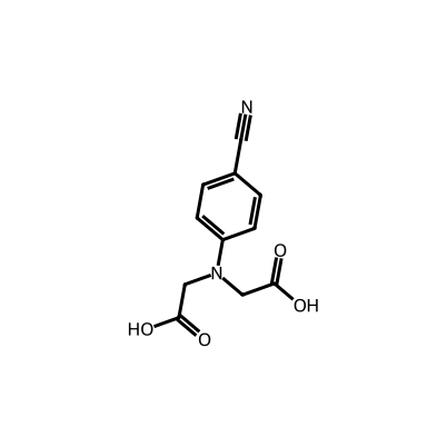 N#Cc1ccc(N(CC(=O)O)CC(=O)O)cc1